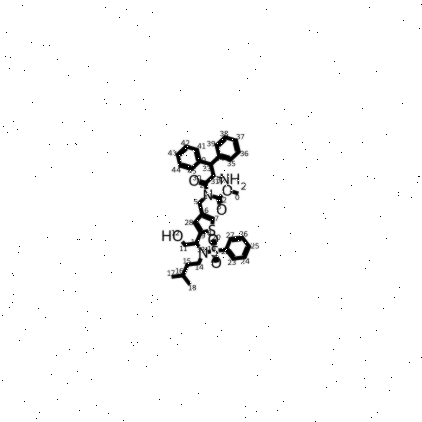 COC(=O)N(Cc1csc(C(CO)N(CCC(C)C)S(=O)(=O)c2ccccc2)c1)C(=O)[C@@H](N)C(c1ccccc1)c1ccccc1